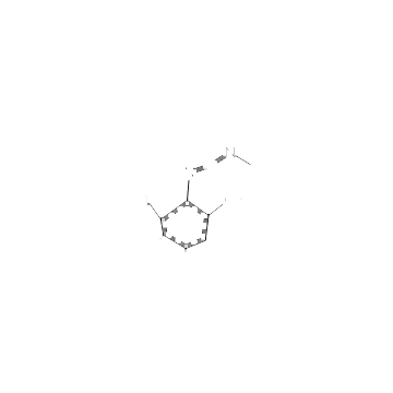 CN=C=Nc1c(Cl)cccc1Cl